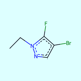 CCn1n[c]c(Br)c1F